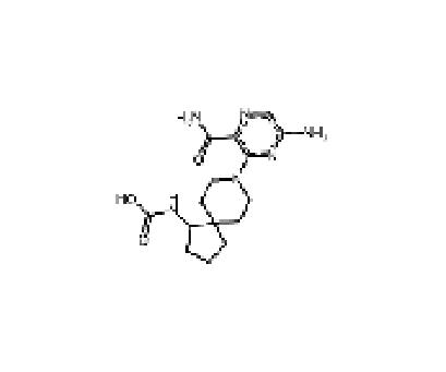 NC(=O)c1ncc(N)nc1N1CCC2(CCCC2NC(=O)O)CC1